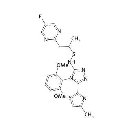 COc1cccc(OC)c1-n1c(NSC(C)Cc2ncc(F)cn2)nnc1-c1nc(C)cs1